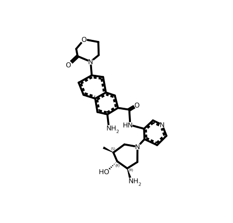 C[C@H]1CN(c2ccncc2NC(=O)c2cc3cc(N4CCOCC4=O)ccc3cc2N)C[C@@H](N)[C@@H]1O